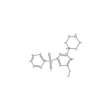 CCc1cc(S(=O)(=O)c2ccccc2)cc(N2CCOCC2)n1